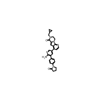 Nc1ncc(-c2ccnc3c2cc2n3CCN(CC3CC3)C2=O)cc1-c1ccc(N2CCCC2=O)cc1